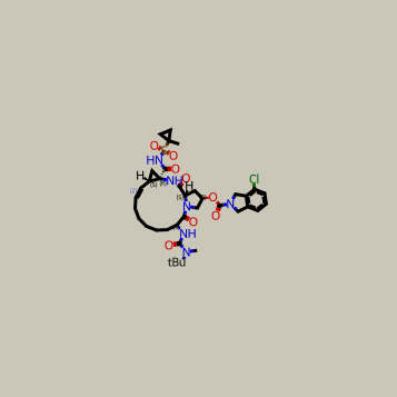 CN(C(=O)N[C@H]1CCCCC/C=C\[C@@H]2C[C@@]2(C(=O)NS(=O)(=O)C2(C)CC2)NC(=O)[C@@H]2C[C@@H](OC(=O)N3Cc4cccc(Cl)c4C3)CN2C1=O)C(C)(C)C